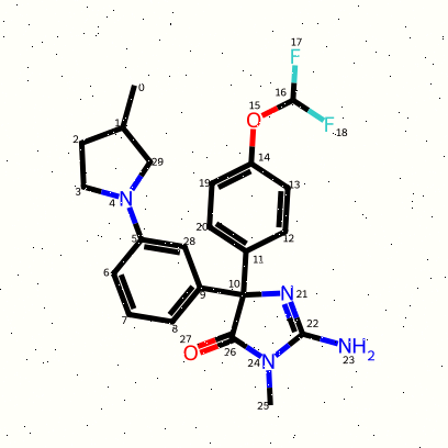 CC1CCN(c2cccc(C3(c4ccc(OC(F)F)cc4)N=C(N)N(C)C3=O)c2)C1